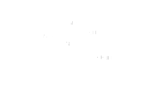 CCCC(OC(C)=O)N1c2ccccc2C(C)C1C.I